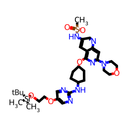 CC(C)(C)[Si](C)(C)OCCOc1cnc(NC2CCC(Oc3nc(N4CCOCC4)cc4ncc(NS(C)(=O)=O)cc34)CC2)nc1